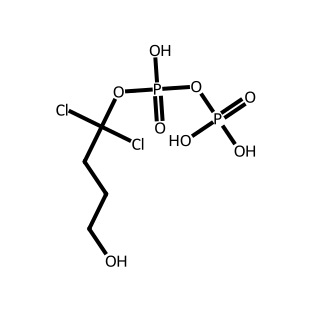 O=P(O)(O)OP(=O)(O)OC(Cl)(Cl)CCCO